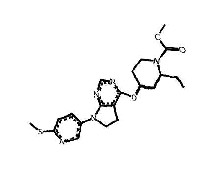 CCC1CC(Oc2ncnc3c2CCN3c2ccc(SC)nc2)CCN1C(=O)OC